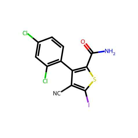 N#Cc1c(I)sc(C(N)=O)c1-c1ccc(Cl)cc1Cl